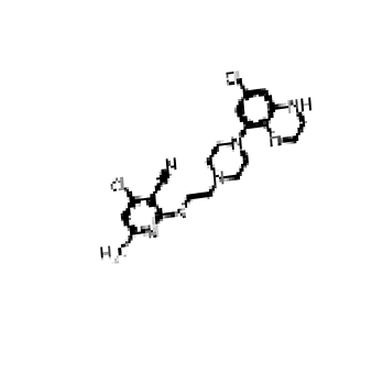 Cc1cc(Cl)c(C#N)c(SCCN2CCN(c3cc(Cl)cc4c3OCCN4)CC2)n1